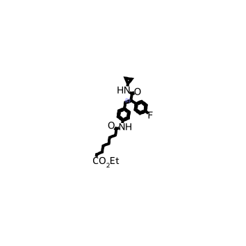 CCOC(=O)CCCCCCC(=O)Nc1ccc(/C=C(/C(=O)NC2CC2)c2ccc(F)cc2)cc1